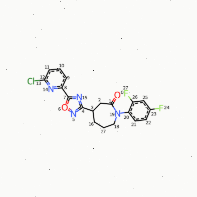 O=C1CC(c2noc(-c3cccc(Cl)n3)n2)CCCN1c1ccc(F)cc1F